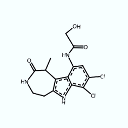 CC1C(=O)NCCc2[nH]c3c(Cl)c(Cl)cc(NC(=O)CO)c3c21